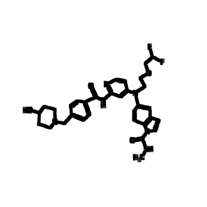 CNC(=O)n1ccc2cc(N(CCOCC(F)F)c3ccnc(NC(=O)c4ccc(CN5CCC(O)CC5)cc4)c3)ccc21